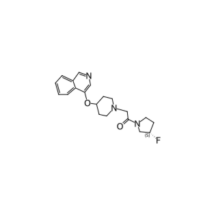 O=C(CN1CCC(Oc2cncc3ccccc23)CC1)N1CC[C@H](F)C1